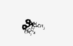 CCOC(=O)c1[nH]c2ccccc2c1Cc1ccccc1N(C)C